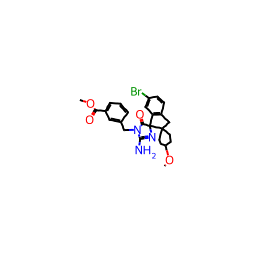 COC(=O)c1cccc(CN2C(=O)C3(N=C2N)c2cc(Br)ccc2CC32CCC(OC)CC2)c1